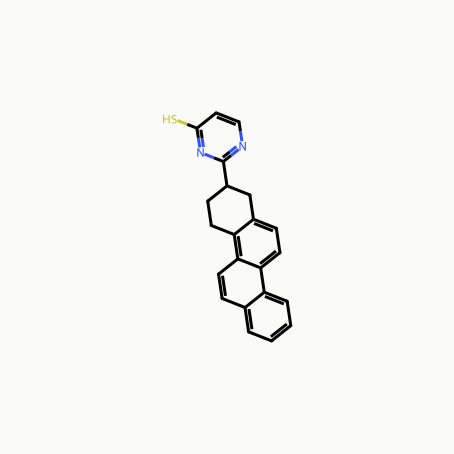 Sc1ccnc(C2CCc3c(ccc4c3ccc3ccccc34)C2)n1